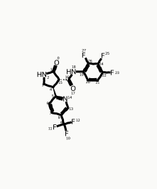 O=C1NC[C@H](c2ccc(C(F)(F)F)cn2)[C@H]1C(=O)Nc1ccc(F)c(F)c1F